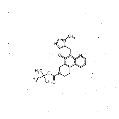 Cn1cncc1Cn1c(=O)c2c(c3cccnc31)CCN(C(=O)OC(C)(C)C)C2